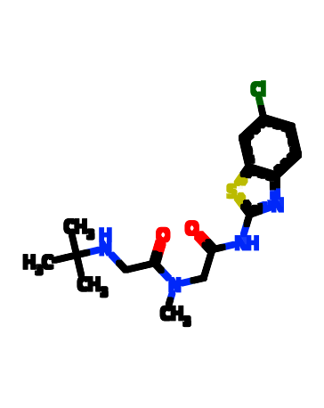 CN(CC(=O)Nc1nc2ccc(Cl)cc2s1)C(=O)CNC(C)(C)C